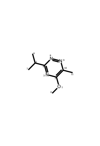 COc1nc(C(C)C)nnc1C